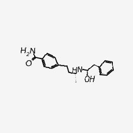 C[C@H](CCc1ccc(C(N)=O)cc1)N[C@H](O)Cc1ccccc1